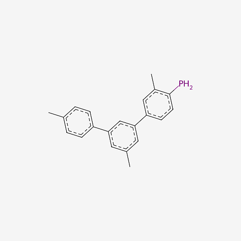 Cc1ccc(-c2cc(C)cc(-c3ccc(P)c(C)c3)c2)cc1